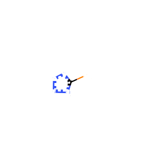 Pc1nnn[nH]1